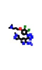 CN(C)CCCOc1ccc(-n2nnnc2-c2cc(-c3cnn(C)c3)cnc2N)c(F)c1F